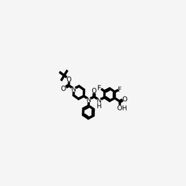 CC(C)(C)OC(=O)N1CCC(N(C(=O)Nc2cc(C(=O)O)c(F)cc2F)c2ccccc2)CC1